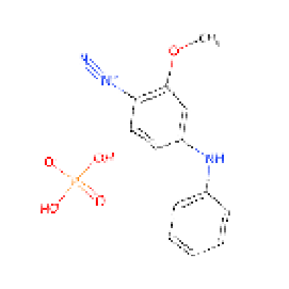 COc1cc(Nc2ccccc2)ccc1[N+]#N.O=P([O-])(O)O